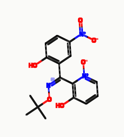 CC(C)(C)O/N=C(/c1cc([N+](=O)[O-])ccc1O)c1c(O)ccc[n+]1[O-]